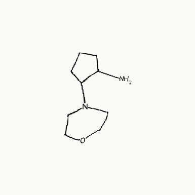 NC1CCCC1N1CCOCC1